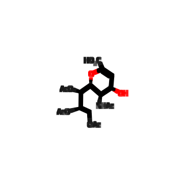 CC(=O)N[C@H]1[C@H]([C@H](OC(C)=O)[C@@H](COC(C)=O)OC(C)=O)OC(C(=O)O)=C[C@H]1O